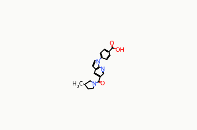 C[C@@H]1CCN(C(=O)c2cnc3c(ccn3-c3ccc(C(=O)O)cc3)c2)C1